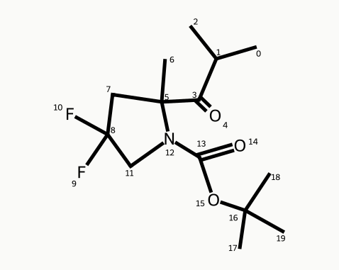 CC(C)C(=O)C1(C)CC(F)(F)CN1C(=O)OC(C)(C)C